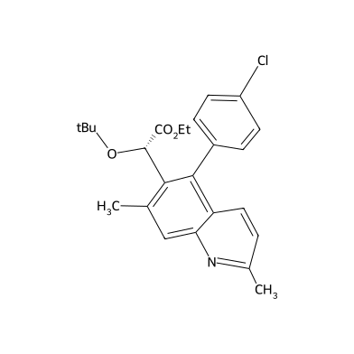 CCOC(=O)[C@@H](OC(C)(C)C)c1c(C)cc2nc(C)ccc2c1-c1ccc(Cl)cc1